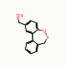 OCc1ccc2c(c1)-c1ccccc1CSO2